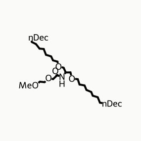 CCCCCCCCCCCCCCCCCCOCC(COCCCCCCCCCCCCCCCCCC)NC(=O)COCCOC